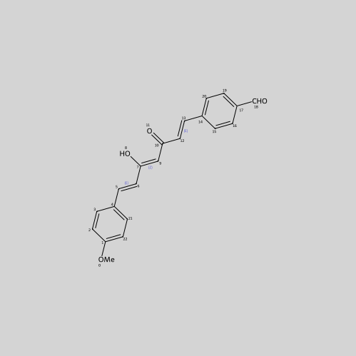 COc1ccc(/C=C/C(O)=C/C(=O)/C=C/c2ccc(C=O)cc2)cc1